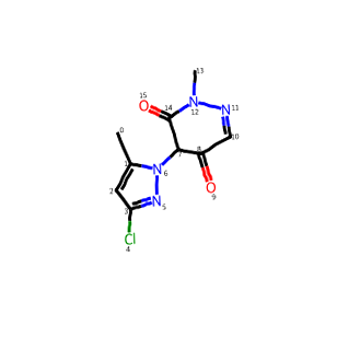 Cc1cc(Cl)nn1C1C(=O)C=NN(C)C1=O